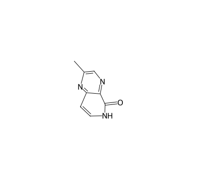 Cc1cnc2c(=O)[nH]ccc2n1